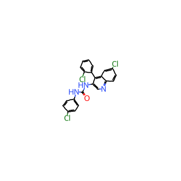 O=C(Nc1ccc(Cl)cc1)Nc1cnc2ccc(Cl)cc2c1-c1ccccc1Cl